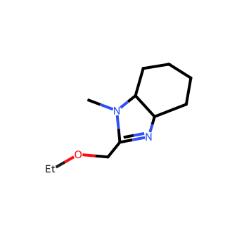 CCOCC1=NC2CCCCC2N1C